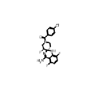 NC1=N[C@]2(CCN(C(=O)c3ccc(Cl)cc3)C[C@@H]2F)Nc2c(F)ccc(F)c21